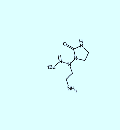 CC(C)(C)NN(CCN)N1CCNC1=O